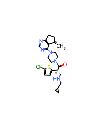 C[C@@H]1CCc2ncnc(N3CCN(C(=O)[C@H](CNCC4CC4)c4ccc(Cl)s4)CC3)c21